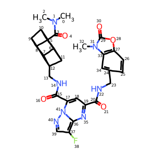 CN(C)C(=O)C12C3C4C1C1C2C3C41CNC(=O)c1cc(C(=O)NCc2ccc3oc(=O)n(C)c3c2)nc2c(F)cnn12